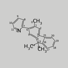 Cc1cc2c(cc1-c1ccccn1)C(C)(C)c1ccccc1-2